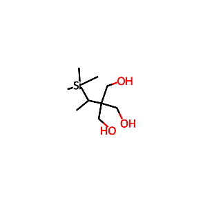 CC(C(CO)(CO)CO)[Si](C)(C)C